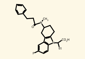 CCC(C(=O)O)n1c2c(c3cc(F)ccc31)CC(N(C)C(=O)CCc1ccccc1)CC2